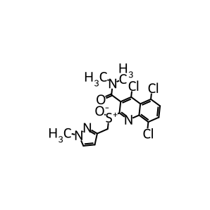 CN(C)C(=O)c1c([S+]([O-])Cc2ccn(C)n2)nc2c(Cl)ccc(Cl)c2c1Cl